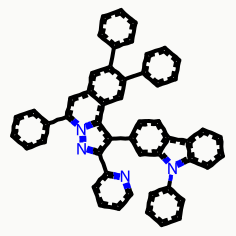 c1ccc(-c2cc3cc(-c4ccccc4)n4nc(-c5ccccn5)c(-c5ccc6c7ccccc7n(-c7ccccc7)c6c5)c4c3cc2-c2ccccc2)cc1